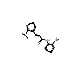 CNc1ccccc1NC(=O)/C=C/c1cccnc1N(C)C